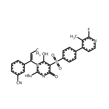 C/C=C(/c1cccc(C#N)c1)n1c(CCCC)nc(=O)c(S(=O)(=O)c2ccc(-c3ccnc(F)c3C)cc2)c1O